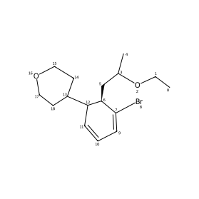 CCOC(C)C[C@H]1C(Br)=CC=CC1C1CCOCC1